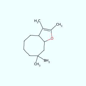 BC1(C)CCCCC2C(C)=C(C)OC2C1